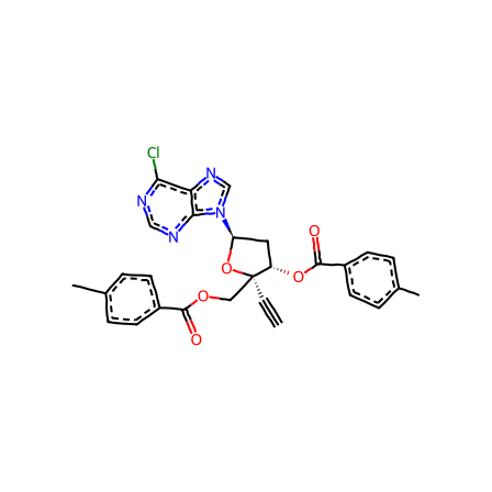 C#C[C@]1(COC(=O)c2ccc(C)cc2)O[C@@H](n2cnc3c(Cl)ncnc32)C[C@@H]1OC(=O)c1ccc(C)cc1